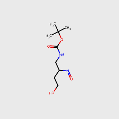 CC(C)(C)OC(=O)NCC(CCO)N=O